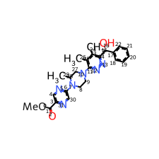 COC(=O)c1cnc(N2CCN(c3nnc([C@H](O)c4ccccc4)c(C)c3C)CC2C)cn1